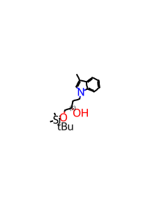 Cc1cn(CC[C@H](O)CO[Si](C)(C)C(C)(C)C)c2ccccc12